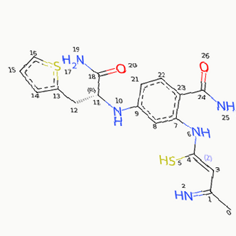 CC(=N)/C=C(\S)Nc1cc(N[C@H](Cc2cccs2)C(N)=O)ccc1C(N)=O